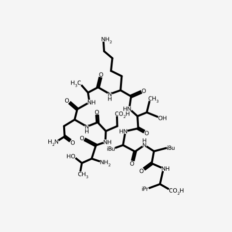 CCC(C)C(NC(=O)C(NC(=O)C(CCCCN)NC(=O)C(C)NC(=O)C(CC(N)=O)NC(=O)C(CC(=O)O)NC(=O)C(N)C(C)O)C(C)O)C(=O)NC(C(=O)NC(C(=O)O)C(C)C)C(C)CC